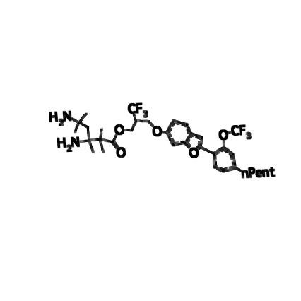 CCCCCc1ccc(-c2cc3ccc(OCC(COC(=O)C(C)(C)C(C)(N)CC(C)(C)N)C(F)(F)F)cc3o2)c(OC(F)(F)F)c1